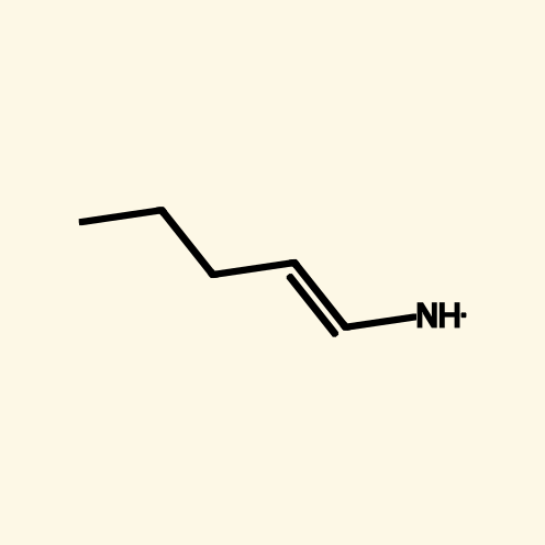 CCCC=C[NH]